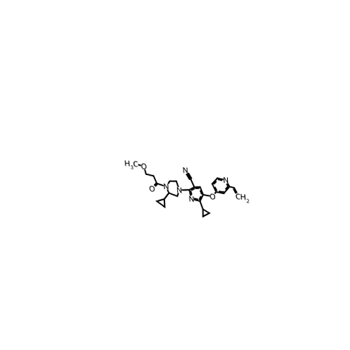 C=Cc1cc(Oc2cc(C#N)c(N3CCN(C(=O)CCOC)C(C4CC4)C3)nc2C2CC2)ccn1